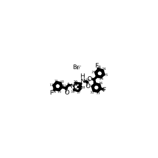 O=C(NC1C[N+]2(CC(=O)c3cccc(F)c3)CCC1CC2)OC(c1cccc(F)c1)c1cccc(F)c1.[Br-]